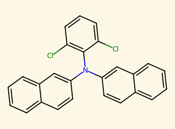 Clc1cccc(Cl)c1N(c1ccc2ccccc2c1)c1ccc2ccccc2c1